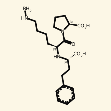 BNCCCC[C@H](N[C@@H](CCc1ccccc1)C(=O)O)C(=O)N1CCC[C@H]1C(=O)O